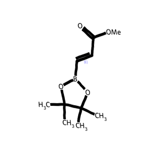 COC(=O)/C=C/B1OC(C)(C)C(C)(C)O1